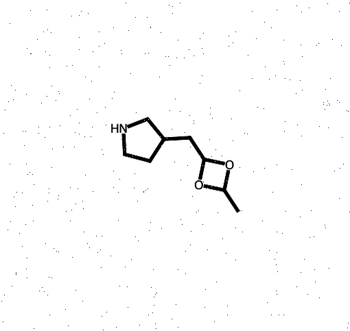 CC1OC(CC2CCNC2)O1